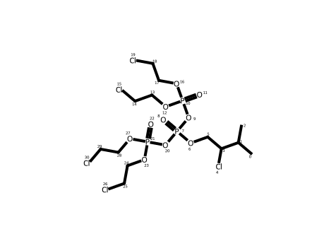 CC(C)C(Cl)COP(=O)(OP(=O)(OCCCl)OCCCl)OP(=O)(OCCCl)OCCCl